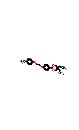 CCC1(CC)COC(c2ccc(OCCOc3ccc(C)cc3)cc2)OC1